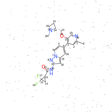 Cc1cc(-c2ccn3nc(NC(=O)C4CC4(F)F)cc3c2)c(OC[C@H]2CCN2C)cn1